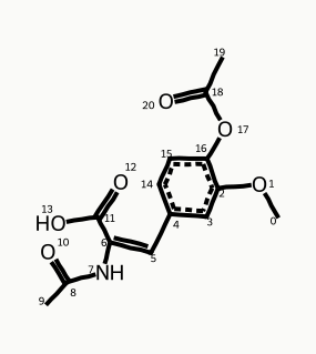 COc1cc(/C=C(/NC(C)=O)C(=O)O)ccc1OC(C)=O